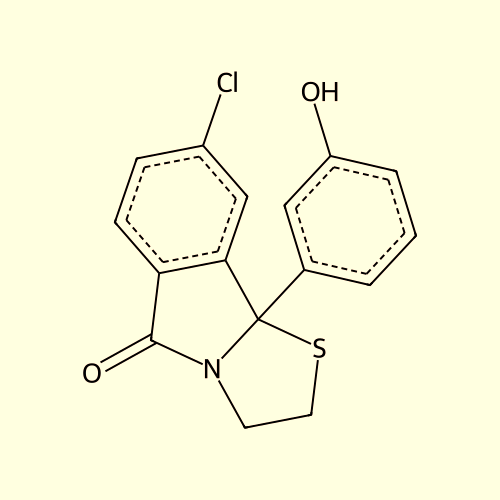 O=C1c2ccc(Cl)cc2C2(c3cccc(O)c3)SCCN12